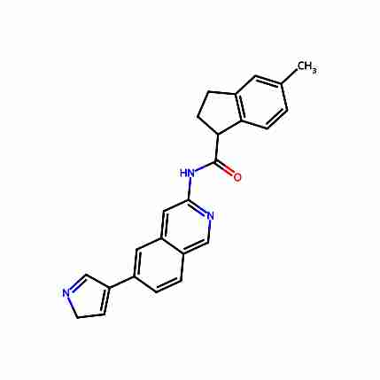 Cc1ccc2c(c1)CCC2C(=O)Nc1cc2cc(C3=CCN=C3)ccc2cn1